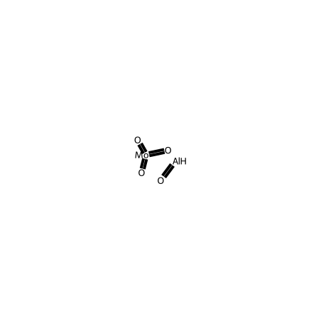 [O]=[AlH].[O]=[Mo](=[O])=[O]